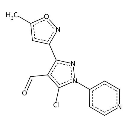 Cc1cc(-c2nn(-c3ccncc3)c(Cl)c2C=O)no1